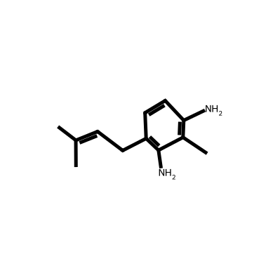 CC(C)=CCc1ccc(N)c(C)c1N